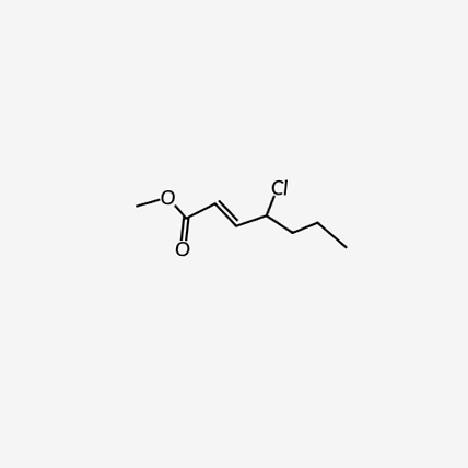 CCCC(Cl)/C=C/C(=O)OC